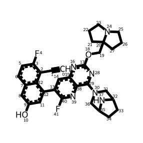 C#Cc1c(F)ccc2cc(O)cc(-c3cc4nc(OCC56CCCN5CCC6)nc(N5CC6CCC(C5)N6)c4nc3F)c12